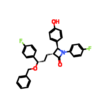 O=C1[C@H](CC[C@H](OCc2ccccc2)c2ccc(F)cc2)[C@@H](c2ccc(O)cc2)N1c1ccc(F)cc1